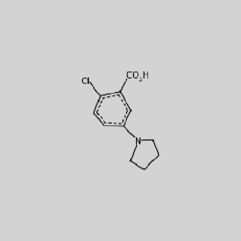 O=C(O)c1cc(N2CCCC2)ccc1Cl